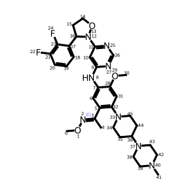 CO/N=C(\C)c1cc(Nc2cc(N3OCCC3c3cccc(F)c3F)ncn2)c(OC)cc1N1CCC(N2CCN(C)CC2)CC1